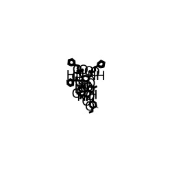 CCC1O[C@H](OC2O[C@H]3CC(C)[C@@H](O[C@@H]4C(NC(=O)OCc5ccccc5)C[C@@H](NC(=O)OCc5ccccc5)C(OC(=O)c5ccccc5)[C@H]4N=[N+]=[N-])OC3C3OC(=O)N(C)C23)C(C)C[C@@H]1C